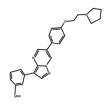 CSc1cccc(-c2cnn3cc(-c4ccc(OCCN5CCCC5)cc4)cnc23)c1